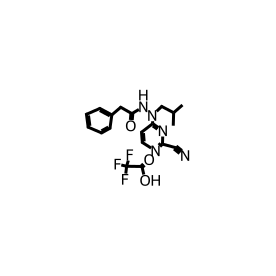 CC(C)CN(NC(=O)Cc1ccccc1)c1ccnc(C#N)n1.O=C(O)C(F)(F)F